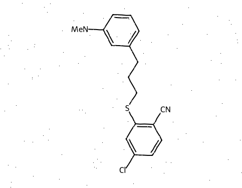 CNc1cccc(CCCSc2cc(Cl)ccc2C#N)c1